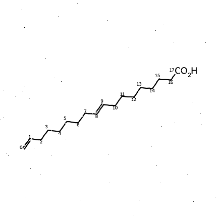 C=CCCCCCCC=CCCCCCCCC(=O)O